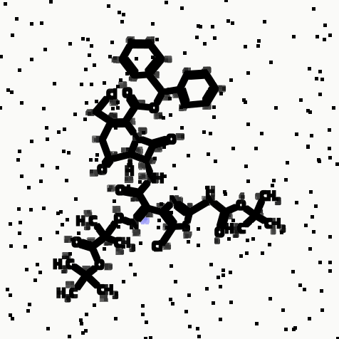 CC(C)(C)OC(=O)Nc1nc(/C(=N/OC(C)(C)C(=O)OC(C)(C)C)C(=O)N[C@@H]2C(=O)N3C(C(=O)OC(c4ccccc4)c4ccccc4)=C(CCl)CC(=O)[C@H]23)c(Cl)s1